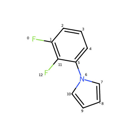 Fc1cccc(-n2c[c]cc2)c1F